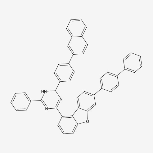 c1ccc(C2=NC(c3cccc4oc5cc(-c6ccc(-c7ccccc7)cc6)ccc5c34)=NC(c3ccc(-c4ccc5ccccc5c4)cc3)N2)cc1